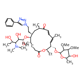 CCO[C@@H](O[C@H]1[C@@H](CCn2cc(-c3ccccc3)nn2)C[C@@H](C)C(=O)/C=C/C(C)=C/[C@H](COC2OC(C)C(O)C(OC)C2OC)[C@@H](CC)OC(=O)CC[C@@H]1C)C(O)C([C@@H](C)O)N(C)C